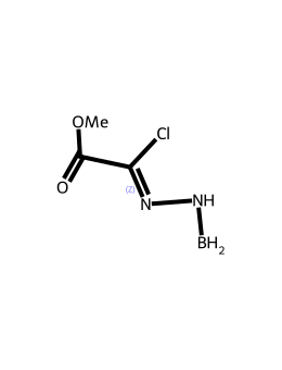 BN/N=C(\Cl)C(=O)OC